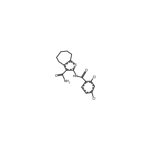 NC(=O)c1c(NC(=O)c2ccc(Cl)cc2Cl)sc2c1CCCCC2